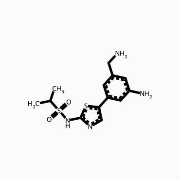 CC(C)S(=O)(=O)Nc1ncc(-c2cc(N)cc(CN)c2)s1